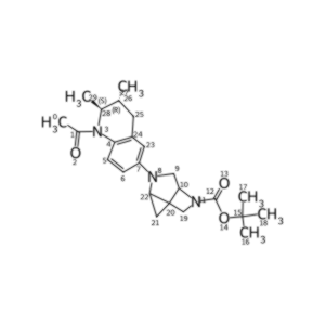 CC(=O)N1c2ccc(N3CC4N(C(=O)OC(C)(C)C)CC45CC35)cc2C[C@@H](C)[C@@H]1C